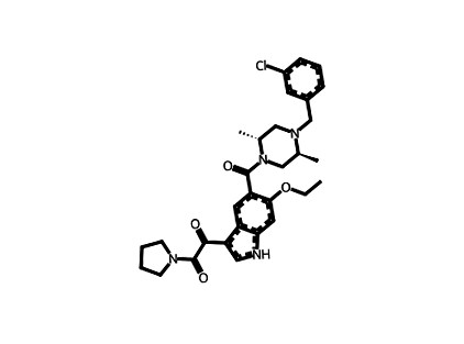 CCOc1cc2[nH]cc(C(=O)C(=O)N3CCCC3)c2cc1C(=O)N1C[C@H](C)N(Cc2cccc(Cl)c2)C[C@H]1C